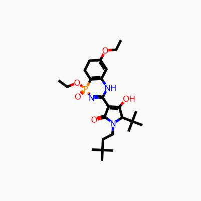 CCOC1=CC2=C(CC1)P(=O)(OCC)N=C(C1=C(O)C(C(C)(C)C)N(CCC(C)(C)C)C1=O)N2